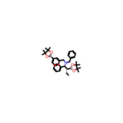 CC[C@@H](B1OC(C)(C)C(C)(C)O1)[C@@H](c1ccccc1)N(Cc1ccccc1)Cc1cccc(B2OC(C)(C)C(C)(C)O2)c1